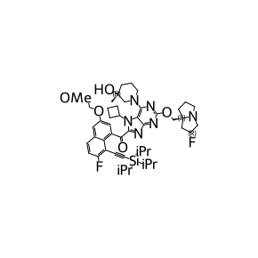 COCOc1cc(C(=O)c2nc3nc(OC[C@@]45CCCN4C[C@H](F)C5)nc(N4CCC[C@@](C)(O)C4)c3n2C2CCC2)c2c(C#C[Si](C(C)C)(C(C)C)C(C)C)c(F)ccc2c1